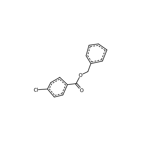 O=C(OCc1ccccc1)c1ccc(Cl)cc1